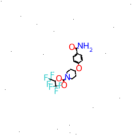 NC(=O)c1ccc(OC2CCN(C(=O)OC(C(F)(F)F)C(F)(F)F)CC2)cc1